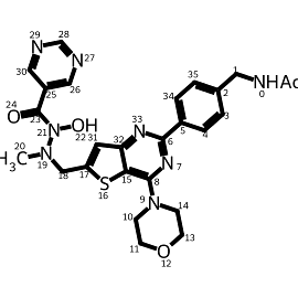 CC(=O)NCc1ccc(-c2nc(N3CCOCC3)c3sc(CN(C)N(O)C(=O)c4cncnc4)cc3n2)cc1